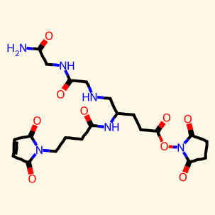 NC(=O)CNC(=O)CNCC(CCC(=O)ON1C(=O)CCC1=O)NC(=O)CCCN1C(=O)C=CC1=O